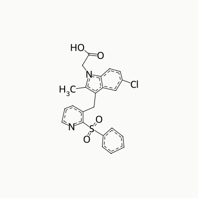 Cc1c(Cc2cccnc2S(=O)(=O)c2ccccc2)c2cc(Cl)ccc2n1CC(=O)O